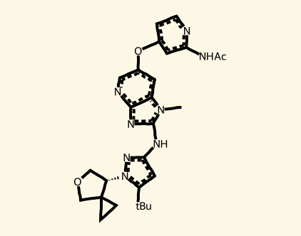 CC(=O)Nc1cc(Oc2cnc3nc(Nc4cc(C(C)(C)C)n([C@H]5COCC56CC6)n4)n(C)c3c2)ccn1